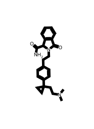 CN(C)CCC1(c2ccc(CCN3C(=O)c4[c]cccc4C3C(N)=O)cc2)CC1